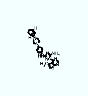 Cc1csc2ncnc(-n3nc(Nc4ccc(N5CCN([C@H]6C[C@@H]7CC[C@H]6C7)CC5)cc4)nc3N)c12